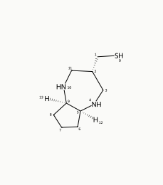 SC[C@@H]1CN[C@H]2CCC[C@H]2NC1